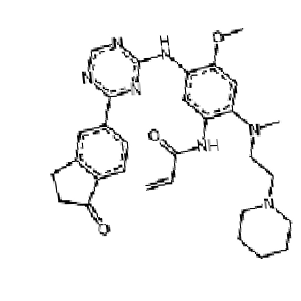 C=CC(=O)Nc1cc(Nc2ncnc(-c3ccc4c(c3)CCC4=O)n2)c(OC)cc1N(C)CCN1CCCCC1